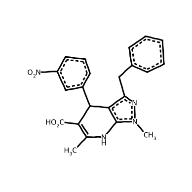 CC1=C(C(=O)O)C(c2cccc([N+](=O)[O-])c2)c2c(Cc3ccccc3)nn(C)c2N1